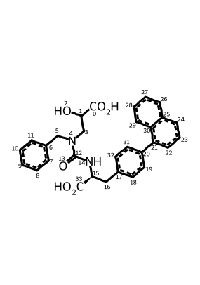 O=C(O)C(O)CN(Cc1ccccc1)C(=O)N[C@@H](Cc1ccc(-c2cccc3ccccc23)cc1)C(=O)O